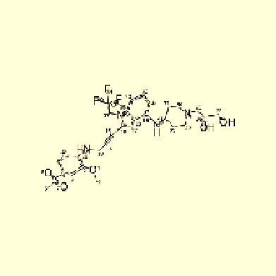 COc1cc(S(C)(=O)=O)ccc1NCC#Cc1cc2c(NC3CCN(C[C@@H](O)CO)CC3)cccc2n1CC(F)(F)F